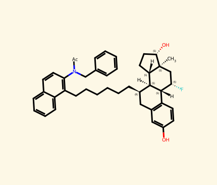 CC(=O)N(Cc1ccccc1)c1ccc2ccccc2c1CCCCCC[C@@H]1Cc2cc(O)ccc2[C@@H]2[C@@H]1[C@@H]1CC[C@H](O)[C@@]1(C)C[C@@H]2F